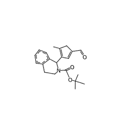 CC1=C(C2c3ccccc3CCN2C(=O)OC(C)(C)C)C=C(C=O)C1